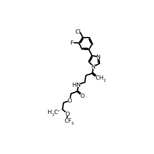 C=C(CCNC(=O)COC[C@@H](C)OC(F)(F)F)n1cnc(-c2ccc(Cl)c(F)c2)c1